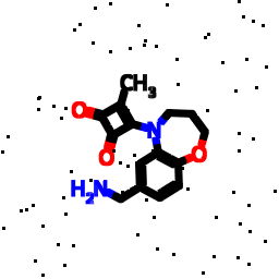 Cc1c(N2CCCOc3ccc(CN)cc32)c(=O)c1=O